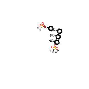 N#Cc1ccccc1.N#Cc1ccccc1.N#Cc1ccccc1.N#Cc1ccccc1.O=S(=O)([O-])C(F)(F)F.O=S(=O)([O-])C(F)(F)F.[Pd+2]